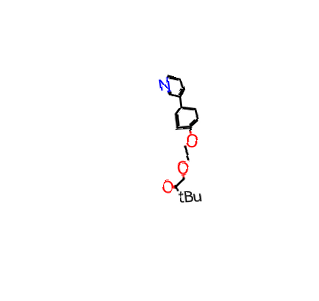 CC(C)(C)C(=O)COCCOc1ccc(-c2cccnc2)cc1